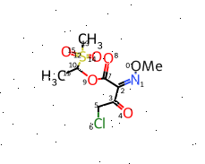 CO/N=C(/C(=O)CCl)C(=O)OC(C)S(C)(=O)=O